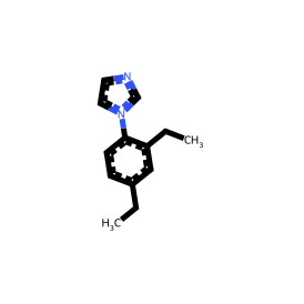 CCc1ccc(-n2ccnc2)c(CC)c1